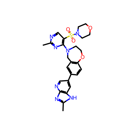 Cc1ncc(S(=O)(=O)N2CCOCC2)c(N2CCOc3ccc(-c4cnc5nc(C)[nH]c5c4)cc3C2)n1